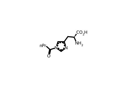 CCCC(=O)n1cnc(C[C@H](N)C(=O)O)c1